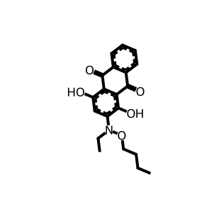 CCCCON(CC)c1cc(O)c2c(c1O)C(=O)c1ccccc1C2=O